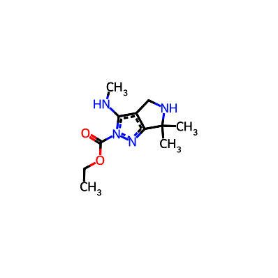 CCOC(=O)n1nc2c(c1NC)CNC2(C)C